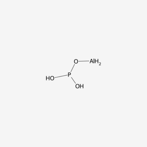 OP(O)[O][AlH2]